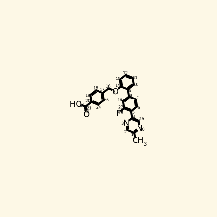 Cc1cnc(-c2ccc(-c3ccccc3OCc3ccc(C(=O)O)cc3)cc2F)cn1